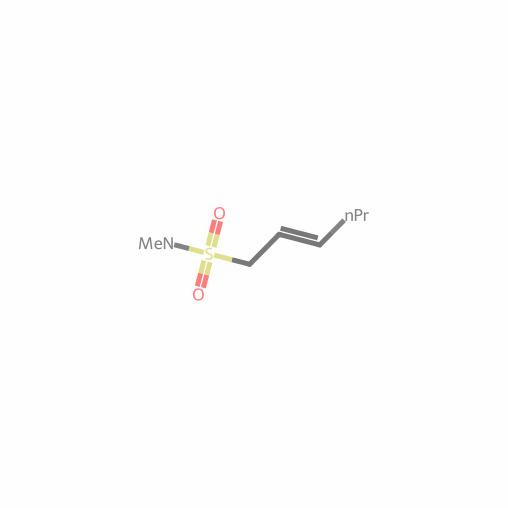 CCC/C=C/CS(=O)(=O)NC